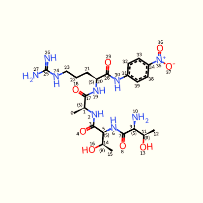 C[C@H](NC(=O)[C@@H](NC(=O)[C@@H](N)[C@@H](C)O)[C@@H](C)O)C(=O)N[C@@H](CCCNC(=N)N)C(=O)Nc1ccc([N+](=O)[O-])cc1